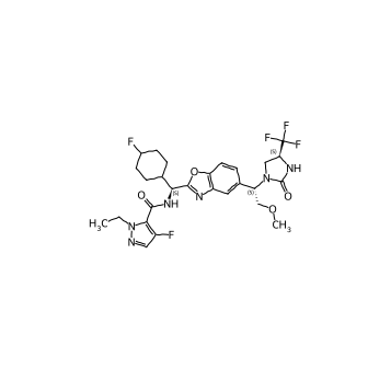 CCn1ncc(F)c1C(=O)N[C@H](c1nc2cc([C@@H](COC)N3C[C@@H](C(F)(F)F)NC3=O)ccc2o1)C1CCC(F)CC1